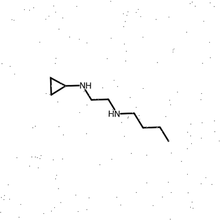 CCCCNCCNC1CC1